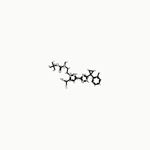 Cc1ccccc1C1(c2noc(-c3cc(C(F)F)n(CCN(C)C(=O)OC(C)(C)C)n3)n2)CC1